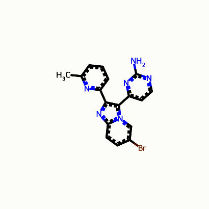 Cc1cccc(-c2nc3ccc(Br)cn3c2-c2ccnc(N)n2)n1